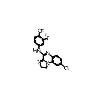 Fc1cc(NC2=Nc3ccc(Cl)cc3N3CCN=C23)ccc1C(F)(F)F